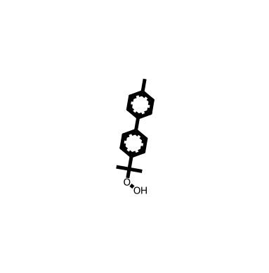 Cc1ccc(-c2ccc(C(C)(C)OO)cc2)cc1